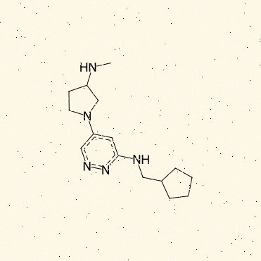 CNC1CCN(c2cnnc(NCC3CCCC3)c2)C1